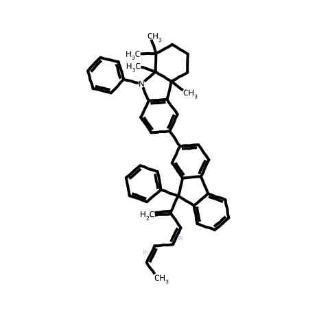 C=C(/C=C\C=C/C)C1(c2ccccc2)c2ccccc2-c2ccc(-c3ccc4c(c3)C3(C)CCCC(C)(C)C3(C)N4c3ccccc3)cc21